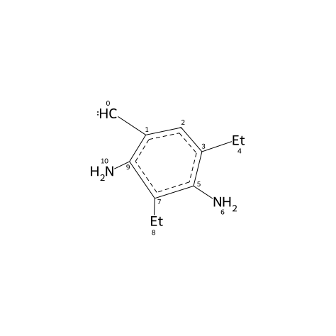 [CH]c1cc(CC)c(N)c(CC)c1N